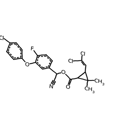 CC1(C)C(C=C(Cl)Cl)C1C(=O)OC(C#N)c1ccc(F)c(Oc2ccc(Cl)cc2)c1